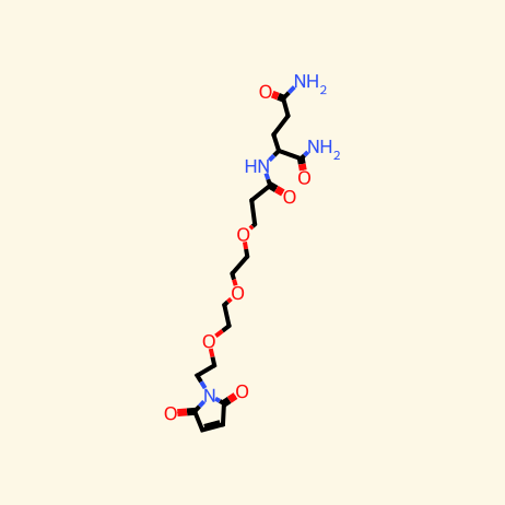 NC(=O)CCC(NC(=O)CCOCCOCCOCCN1C(=O)C=CC1=O)C(N)=O